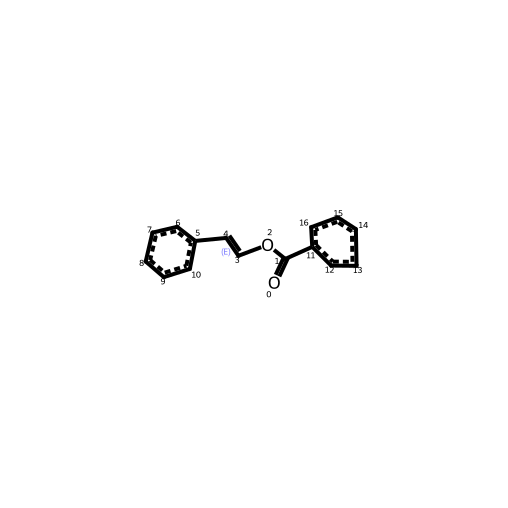 O=C(O/C=C/c1ccccc1)c1ccccc1